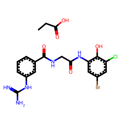 CCC(=O)O.N=C(N)Nc1cccc(C(=O)NCC(=O)Nc2cc(Br)cc(Cl)c2O)c1